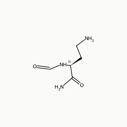 NCC[C@H](NC=O)C(N)=O